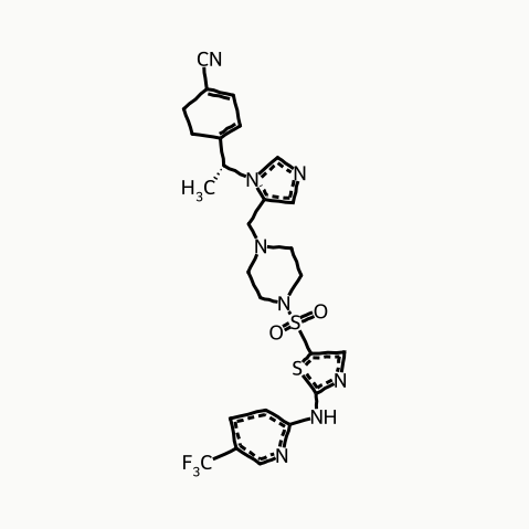 C[C@H](C1=CC=C(C#N)CC1)n1cncc1CN1CCN(S(=O)(=O)c2cnc(Nc3ccc(C(F)(F)F)cn3)s2)CC1